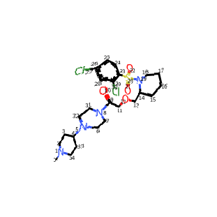 CN1CCC(N2CCN(C(=O)COCC3CCCCN3S(=O)(=O)c3ccc(Cl)cc3Cl)CC2)CC1